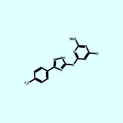 CSc1nc(Cl)cc(Sc2nc(-c3ccc(C(F)(F)F)cc3)n[nH]2)n1